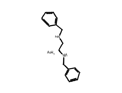 [AsH3].c1ccc(CNCCNCc2ccccc2)cc1